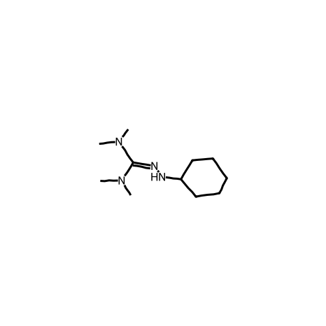 CN(C)C(=NNC1CCCCC1)N(C)C